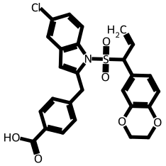 C=CC(c1ccc2c(c1)OCCO2)S(=O)(=O)n1c(Cc2ccc(C(=O)O)cc2)cc2cc(Cl)ccc21